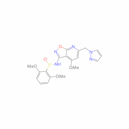 COc1cccc(OC)c1[S+]([O-])Nc1noc2nc(Cn3cccn3)cc(OC)c12